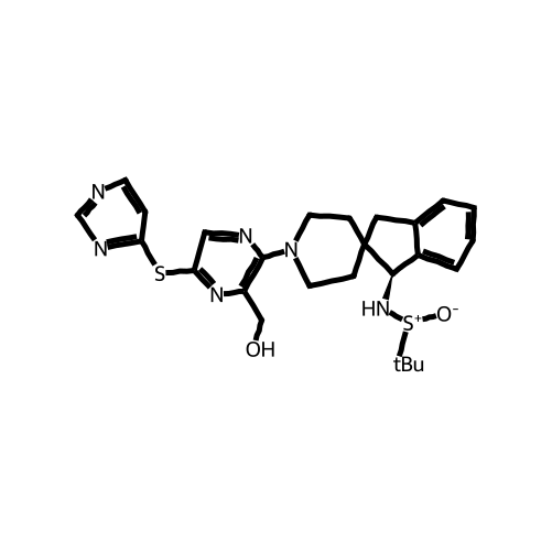 CC(C)(C)[S+]([O-])N[C@@H]1c2ccccc2CC12CCN(c1ncc(Sc3ccncn3)nc1CO)CC2